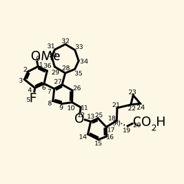 COc1ccc(F)c(-c2ccc(COc3cccc([C@@H](CC(=O)O)CC4CC4)c3)cc2C2CCCCCCC2)c1